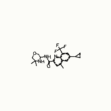 Cc1cc(C(=O)NC2COCC(C)(C)N2)nc2c(C(F)(F)F)cc(C3CC3)cc12